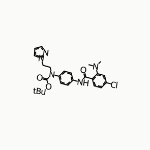 CN(C)c1cc(Cl)ccc1C(=O)Nc1ccc(N(CCn2cccn2)C(=O)OC(C)(C)C)cc1